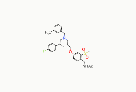 CC(=O)NCc1ccc(OCCCN(Cc2cccc(C(F)(F)F)c2)CC(C)c2ccc(F)cc2)cc1S(C)(=O)=O